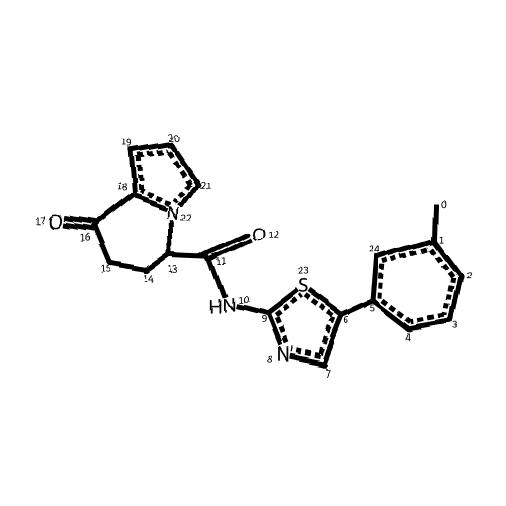 Cc1cccc(-c2cnc(NC(=O)C3CCC(=O)c4cccn43)s2)c1